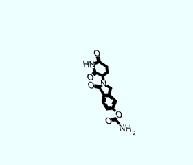 NC(=O)Oc1ccc2c(c1)CN(C1CCC(=O)NC1=O)C2=O